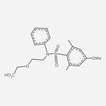 COc1cc(C)c(S(=O)(=O)N(CCOCC(=O)O)c2ccccc2)c(C)c1